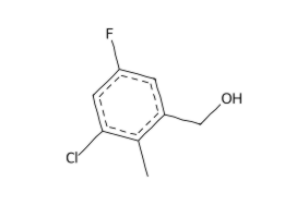 Cc1c(Cl)cc(F)cc1CO